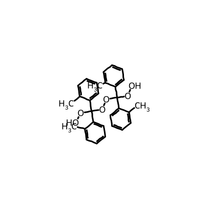 Cc1ccccc1C(OO)(OOC(OO)(c1ccccc1C)c1ccccc1C)c1ccccc1C